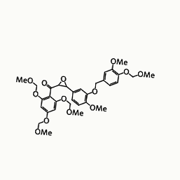 COCOc1cc(OCOC)c(C(=O)C2OC2c2ccc(OC)c(OCc3ccc(OCOC)c(OC)c3)c2)c(OCOC)c1